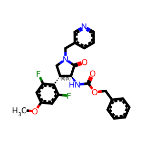 COc1cc(F)c([C@@H]2CN(Cc3cccnc3)C(=O)[C@H]2NC(=O)OCc2ccccc2)c(F)c1